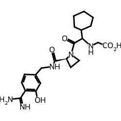 N=C(N)c1ccc(CNC(=O)[C@@H]2CCN2C(=O)C(NCC(=O)O)C2CCCCC2)cc1O